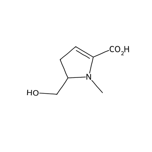 CN1C(C(=O)O)=CCC1CO